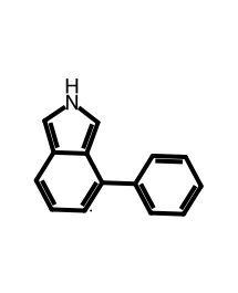 [c]1ccc2c[nH]cc2c1-c1ccccc1